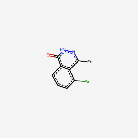 CCc1n[nH]c(=O)c2cccc(Br)c12